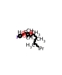 Cc1c(C)c2c(c(C)c1OC(=O)c1ccc(I)cc1)CC[C@](C)(CCCC(C)CCCC(C)CCCC(C)C)O2